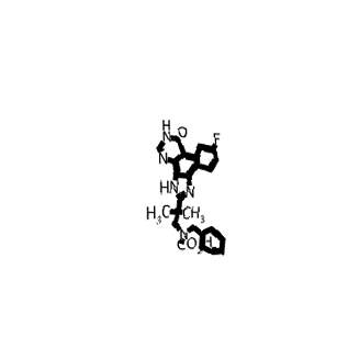 CC(C)(CN(Cc1ccccc1)C(=O)O)c1nc2c3ccc(F)cc3c3c(=O)[nH]cnc3c2[nH]1